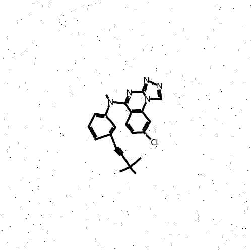 CN(c1cccc(C#CC(C)(C)C)c1)c1nc2nncn2c2cc(Cl)ccc12